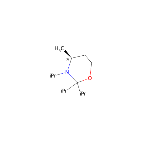 CC(C)N1[C@@H](C)CCOC1(C(C)C)C(C)C